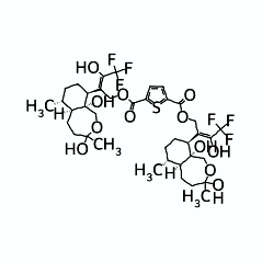 C[C@@H]1CC[C@@H](/C(COC(=O)c2ccc(C(=O)OC/C(=C(/O)C(F)(F)F)[C@@H]3CC[C@@H](C)[C@@H]4CCC(C)(O)OC[C@]34O)s2)=C(\O)C(F)(F)F)[C@@]2(O)COC(C)(O)CC[C@@H]12